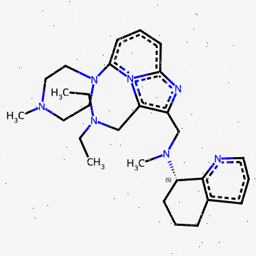 CCN(CC)Cc1c(CN(C)[C@H]2CCCc3cccnc32)nc2cccc(N3CCN(C)CC3)n12